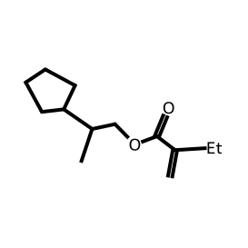 C=C(CC)C(=O)OCC(C)C1CCCC1